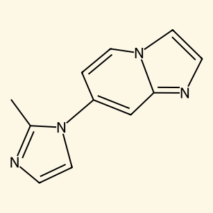 Cc1nccn1-c1ccn2ccnc2c1